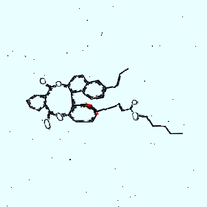 C/C=C/c1ccc2c(ccc3oc(=O)c4ccccc4c(=O)oc4ccc5cc(/C=C/C(=O)OCCCCC)ccc5c4c32)c1